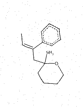 C[C]=C(CC1([SiH3])CCCCO1)c1ccccc1